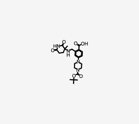 CC(C)(C)OC(=O)N1CCN(c2ccc(C(=O)O)c(CNC3(C)CCC(=O)NC3=O)c2)CC1